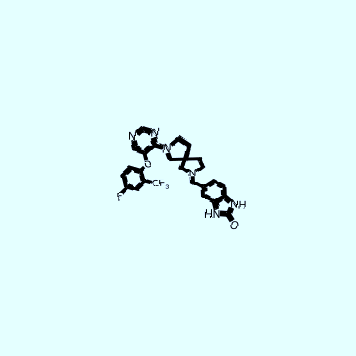 O=c1[nH]c2ccc(CN3CCC4(CCN(c5ncncc5Oc5ccc(F)cc5C(F)(F)F)C4)C3)cc2[nH]1